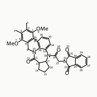 COc1c(C)c(C)c(OC)c(CN2C(=O)C3CCCC3N(C(=O)CN3C(=O)c4ccccc4C3=O)c3ccccc32)c1C